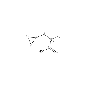 C=C(S)N(C)CC1CC1